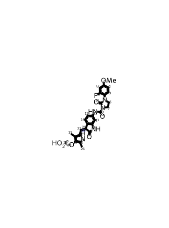 COc1ccc(N2CCN(C(=O)Nc3ccc4c(c3)NC(=O)/C4=C\c3[nH]c(C)c(OC(=O)O)c3C)C2=O)c(F)c1